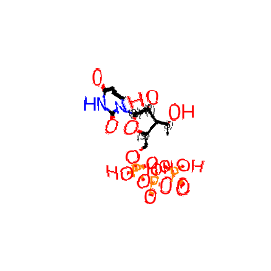 C[C@H](O)C1[C@@H](O)[C@H](n2ccc(=O)[nH]c2=O)O[C@@H]1COP(=O)(O)OP(=O)(O)OP(=O)(O)O